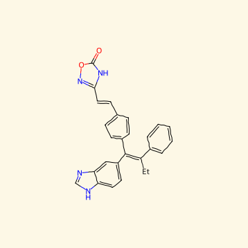 CC/C(=C(/c1ccc(/C=C/c2noc(=O)[nH]2)cc1)c1ccc2[nH]cnc2c1)c1ccccc1